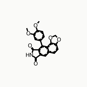 COc1ccc(-c2c3c(cc4ccc5c(c24)OCO5)C(=O)NC3=O)cc1OC